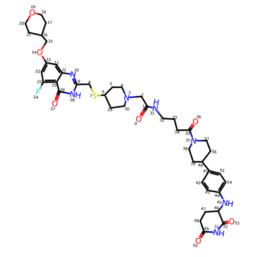 O=C(CN1CCC(SCc2nc3cc(OCC4CCOCC4)cc(F)c3c(=O)[nH]2)CC1)NCCCC(=O)N1CCC(c2ccc(NC3CCC(=O)NC3=O)cc2)CC1